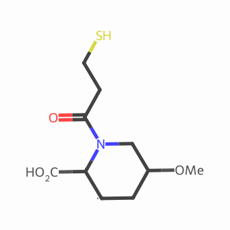 COC1C[CH][C](C(=O)O)N(C(=O)CCS)C1